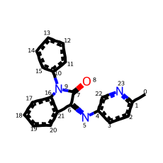 Cc1ccc(/N=C2\C(=O)N(c3ccccc3)c3ccccc32)cn1